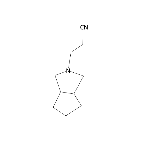 N#CCCN1CC2CCCC2C1